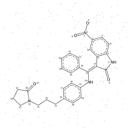 O=C1Nc2ccc([N+](=O)[O-])cc2/C1=C(/Nc1ccc(CCCN2CCCC2=O)cc1)c1ccccc1